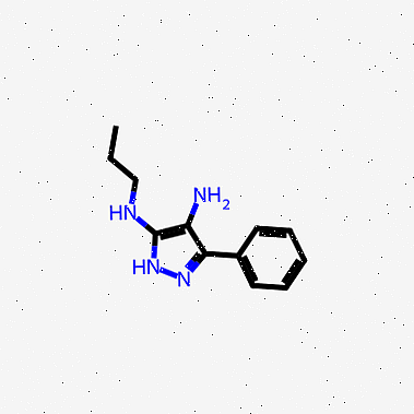 CCCNc1[nH]nc(-c2ccccc2)c1N